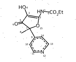 CCOC(=O)NC1=C(O)C(=O)C(C)(c2ccncc2)O1